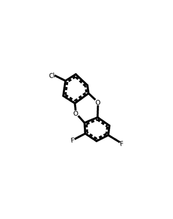 Fc1cc(F)c2c(c1)Oc1ccc(Cl)cc1O2